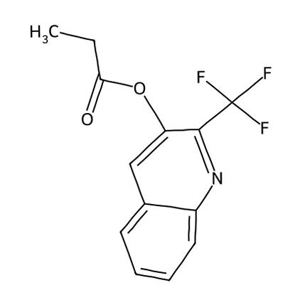 CCC(=O)Oc1cc2ccccc2nc1C(F)(F)F